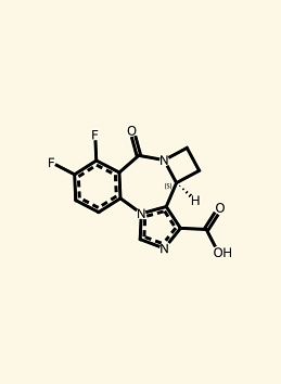 O=C(O)c1ncn2c1[C@@H]1CCN1C(=O)c1c-2ccc(F)c1F